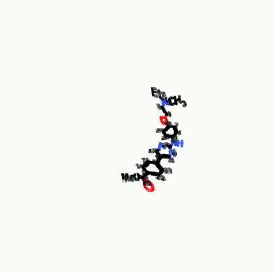 CCN(C)CCOc1ccc(Nc2ncc(-c3ccc(C(=O)OC)cc3)cn2)cc1